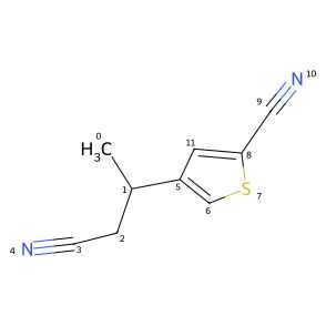 CC(CC#N)c1csc(C#N)c1